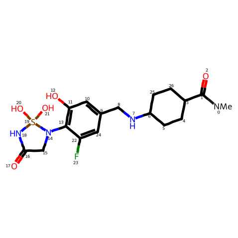 CNC(=O)C1CCC(NCc2cc(O)c(N3CC(=O)NS3(O)O)c(F)c2)CC1